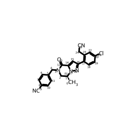 C[C@H]1CN(Cc2ccc(C#N)cc2)C(=O)c2cc(-c3ccc(Cl)cc3CC#N)nn21